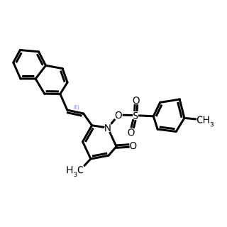 Cc1ccc(S(=O)(=O)On2c(/C=C/c3ccc4ccccc4c3)cc(C)cc2=O)cc1